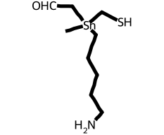 [CH3][Sn]([CH2]S)([CH2]C=O)[CH2]CCCCN